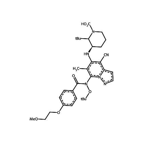 COCCOc1ccc(C(=O)N(OC(C)(C)C)c2c(C)c(N[C@@H]3CCCN(C(=O)O)C3C(C)(C)C)c(C#N)c3ccnn23)cc1